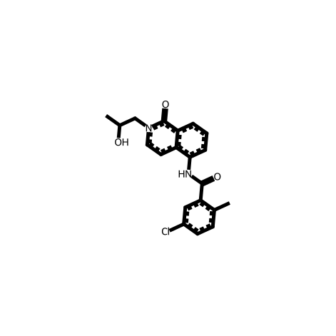 Cc1ccc(Cl)cc1C(=O)Nc1cccc2c(=O)n(CC(C)O)ccc12